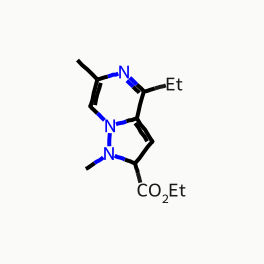 CCOC(=O)C1C=C2C(CC)=NC(C)=CN2N1C